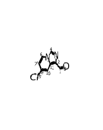 O=Cc1ncn2ccc(Cl)cc12